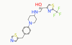 O[C@@H](CNC1CCN(c2ccc(Cc3cncs3)cc2)CC1)c1csc(C(F)(F)F)n1